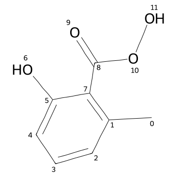 Cc1cccc(O)c1C(=O)OO